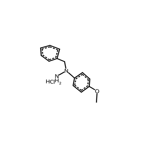 COc1ccc(N(N)Cc2ccccc2)cc1.Cl